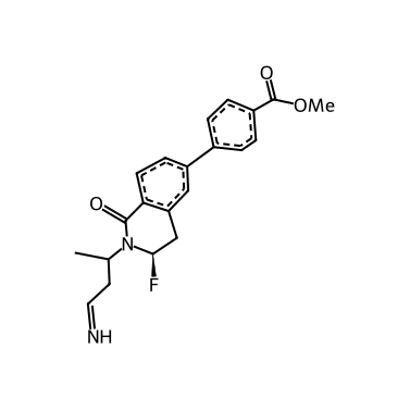 COC(=O)c1ccc(-c2ccc3c(c2)C[C@@H](F)N(C(C)CC=N)C3=O)cc1